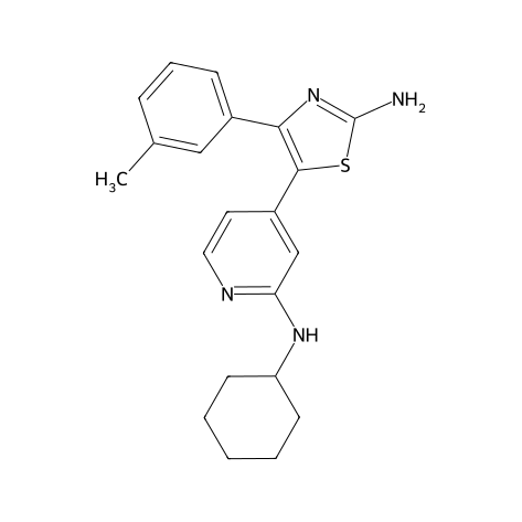 Cc1cccc(-c2nc(N)sc2-c2ccnc(NC3CCCCC3)c2)c1